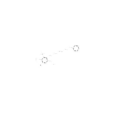 COCc1cc(C(C)(C)C)c(O)c(C(C)(C)C)c1CCCCCCCCCc1ccccc1